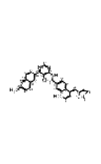 C\C=C/C(=C\C(C)=C\CC)c1ccc(CNc2ncnc(-c3ccc4nc(C)ccc4c3)c2C)cc1